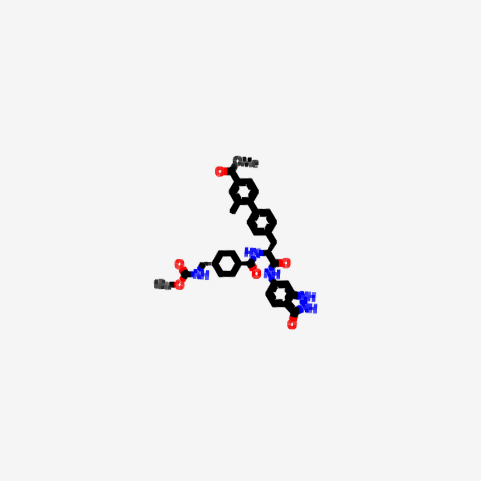 COC(=O)c1ccc(-c2ccc(C[C@H](NC(=O)[C@H]3CC[C@H](CNC(=O)OC(C)(C)C)CC3)C(=O)Nc3ccc4c(=O)[nH][nH]c4c3)cc2)c(C)c1